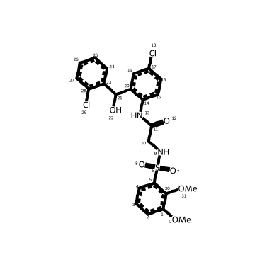 COc1cccc(S(=O)(=O)NCC(=O)Nc2ccc(Cl)cc2C(O)c2ccccc2Cl)c1OC